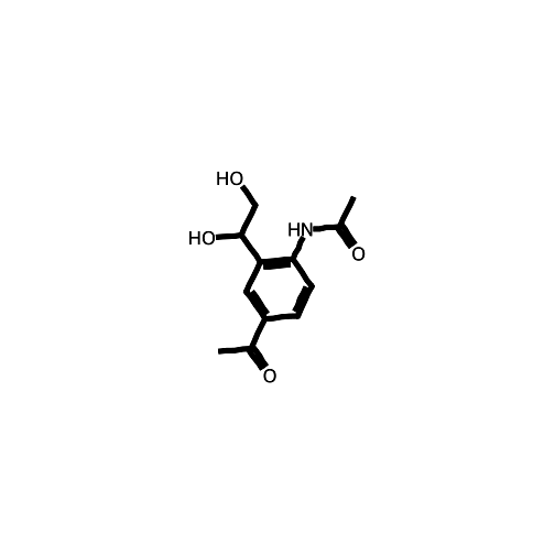 CC(=O)Nc1ccc(C(C)=O)cc1C(O)CO